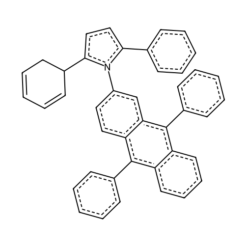 C1=CCC(c2ccc(-c3ccccc3)n2-c2ccc3c(-c4ccccc4)c4ccccc4c(-c4ccccc4)c3c2)C=C1